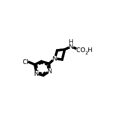 O=C(O)NC1CN(c2cc(Cl)ncn2)C1